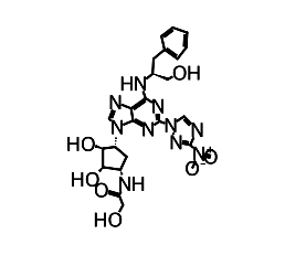 O=C(CO)N[C@H]1C[C@@H](n2cnc3c(N[C@H](CO)Cc4ccccc4)nc(-n4cnc([N+](=O)[O-])n4)nc32)[C@H](O)[C@@H]1O